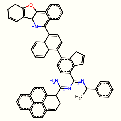 CC(/N=C(\N=C(/N)C1CC=c2ccc3cccc4ccc1c2c43)c1ccc(C2=CC=C(C3=c4ccccc4=C4OC5=C(C=CCC5)C4N3)C3C=CC=CC23)c2c1C=CC2)c1ccccc1